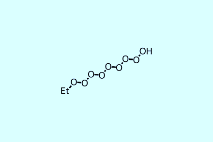 CCOOOOOOOOO